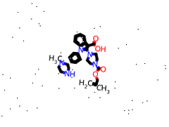 C=C(C)COC(=O)N1CCN(c2c(C(=O)O)c3ccccc3n2-c2ccccc2)CC1.CN1CCNCC1